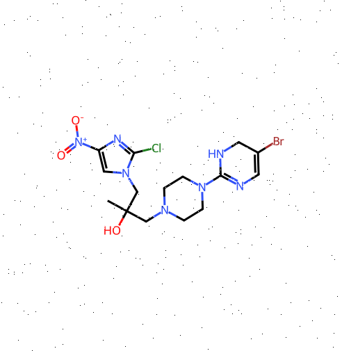 CC(O)(CN1CCN(C2=NC=C(Br)CN2)CC1)Cn1cc([N+](=O)[O-])nc1Cl